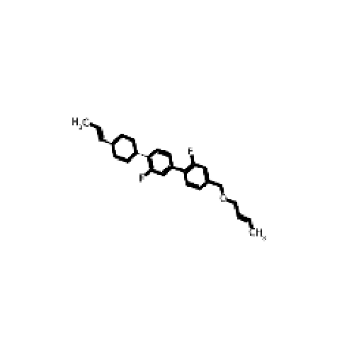 CC=CCOCc1ccc(-c2ccc([C@H]3CC[C@H](C=CC)CC3)c(F)c2)c(F)c1